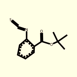 CC(C)(C)OC(=O)c1ccccc1N=C=S